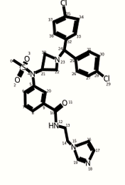 CS(=O)(=O)N(c1cccc(C(=O)NCCn2ccnc2)c1)C1CN(C(c2ccc(Cl)cc2)c2ccc(Cl)cc2)C1